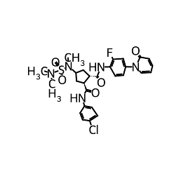 CN(C)S(=O)(=O)N(C)C1C[C@H](C(=O)Nc2ccc(Cl)cc2)[C@@H](C(=O)Nc2ccc(-n3ccccc3=O)cc2F)C1